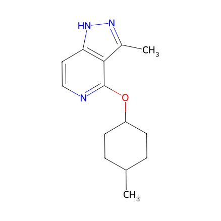 Cc1n[nH]c2ccnc(OC3CCC(C)CC3)c12